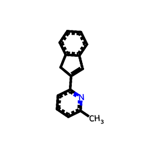 Cc1cccc(C2=Cc3ccccc3C2)n1